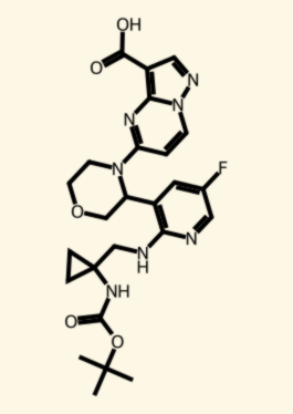 CC(C)(C)OC(=O)NC1(CNc2ncc(F)cc2C2COCCN2c2ccn3ncc(C(=O)O)c3n2)CC1